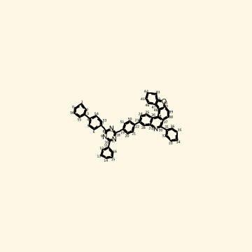 c1ccc(-c2ccc(-c3nc(-c4ccccc4)nc(-c4ccc(-c5ccc6c(c5)nc(-c5ccccc5)c5ccc7oc8ccccc8c7c56)cc4)n3)cc2)cc1